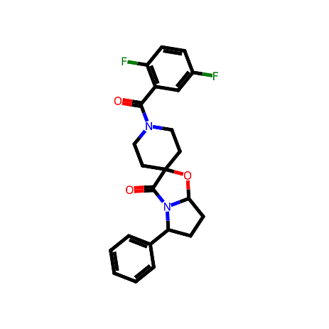 O=C(c1cc(F)ccc1F)N1CCC2(CC1)OC1CCC(c3ccccc3)N1C2=O